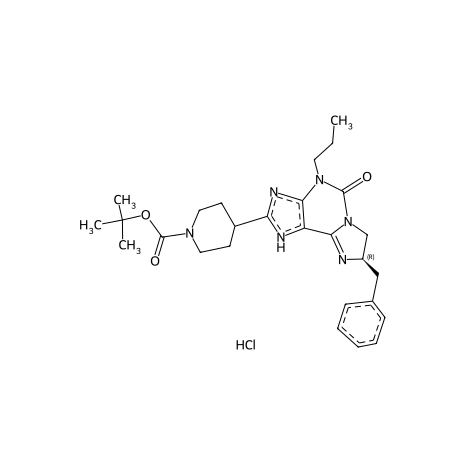 CCCN1C(=O)N2C[C@@H](Cc3ccccc3)N=C2c2[nH]c(C3CCN(C(=O)OC(C)(C)C)CC3)nc21.Cl